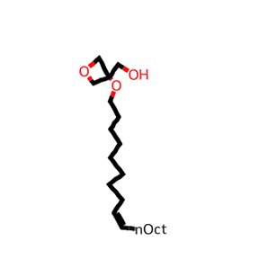 CCCCCCCC/C=C\CCCCCCCCOC1(CO)COC1